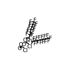 C[CH]([Sn+2][CH](C)C(F)(F)C(F)(F)C(F)(F)C(F)(F)C(F)(F)C(F)(F)F)C(F)(F)C(F)(F)C(F)(F)C(F)(F)C(F)(F)C(F)(F)F.O=C([O-])CCl.O=C([O-])CCl